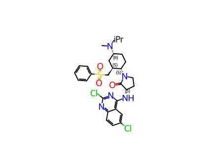 CC(C)N(C)[C@@H]1CC[C@H](N2CC[C@H](Nc3nc(Cl)nc4ccc(Cl)cc34)C2=O)[C@@H](CS(=O)(=O)c2ccccc2)C1